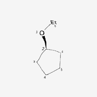 CCO[C@@H]1C[CH]CC1